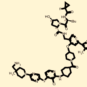 Cc1ncsc1-c1ccc(CNC(=O)[C@@H]2C[C@@H](O)CN2C(=O)[C@@H](NC(=O)C2(F)CC2)C(C)(C)C)c(OC2CCN(C(=O)C3CCC(Nc4nccc(Sc5cnc(N6CCC(C)(CN)CC6)cn5)c4Cl)CC3)CC2)c1